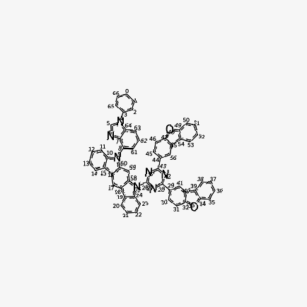 c1ccc(-n2cnc3c(-n4c5ccccc5c5cc6c7ccccc7n(-c7nc(-c8ccc9oc%10ccccc%10c9c8)nc(-c8ccc9oc%10ccccc%10c9c8)n7)c6cc54)cccc32)cc1